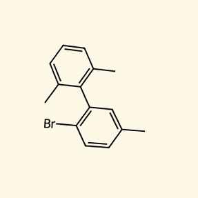 Cc1ccc(Br)c(-c2c(C)cccc2C)c1